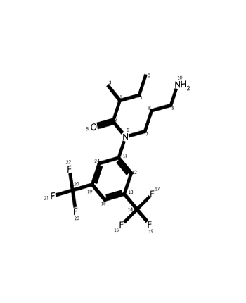 CCC(C)C(=O)N(CCCN)c1cc(C(F)(F)F)cc(C(F)(F)F)c1